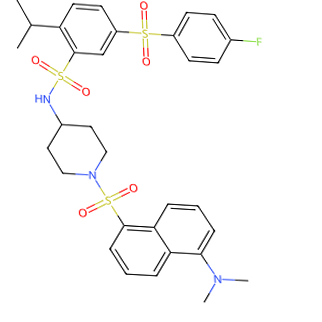 CC(C)c1ccc(S(=O)(=O)c2ccc(F)cc2)cc1S(=O)(=O)NC1CCN(S(=O)(=O)c2cccc3c(N(C)C)cccc23)CC1